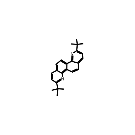 CC(C)(C)c1ccc2ccc3c(ccc4ccc(C(C)(C)C)nc43)c2n1